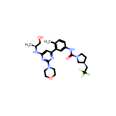 Cc1ccc(NC(=O)N2CC[C@@H](CC(F)(F)F)C2)cc1-c1cc(N[C@@H](C)CO)nc(N2CCOCC2)n1